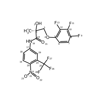 C[C@](O)(COc1ccc(F)c(F)c1F)C(=O)Nc1ccc([N+](=O)[O-])c(C(F)(F)F)c1